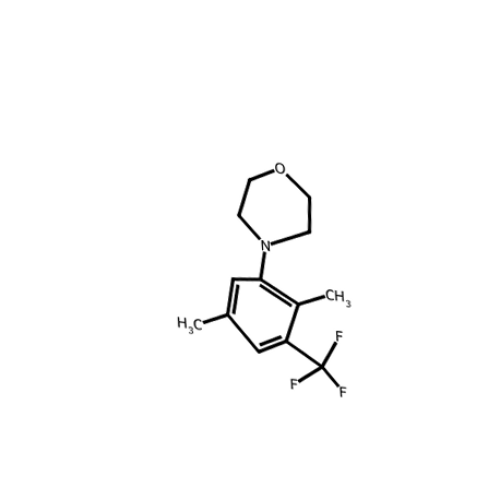 Cc1cc(N2CCOCC2)c(C)c(C(F)(F)F)c1